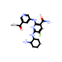 COC(=O)c1cncc(Nc2nc(NC3CCCCC3N)c(F)cc2C(N)=O)c1